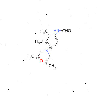 CC1C(NC=O)=CC[C@H](N2C[C@@H](C)O[C@@H](C)C2)[C@@H]1C